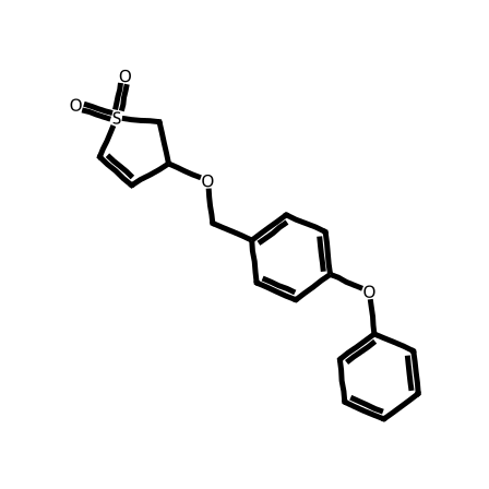 O=S1(=O)C=CC(OCc2ccc(Oc3ccccc3)cc2)C1